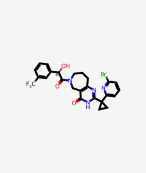 O=C([C@H](O)c1cccc(C(F)(F)F)c1)N1CCCc2nc(C3(c4cccc(Br)n4)CC3)[nH]c(=O)c2C1